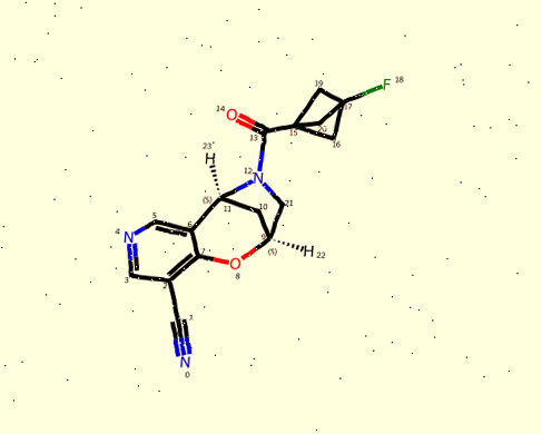 N#Cc1cncc2c1O[C@H]1C[C@@H]2N(C(=O)C23CC(F)(C2)C3)C1